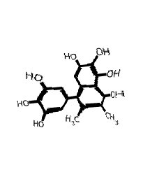 Cc1c(C)c(O)c2c(O)c(O)c(O)cc2c1-c1cc(O)c(O)c(O)c1